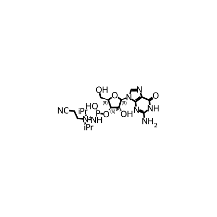 CC(C)[N+](CCC#N)(NP(O)O[C@H]1[C@@H](O)[C@H](n2cnc3c(=O)[nH]c(N)nc32)O[C@@H]1CO)C(C)C